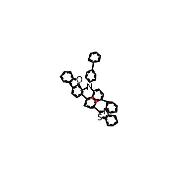 c1ccc(-c2ccc(N(c3ccc(-c4ccccc4)cc3)c3c(-c4ccc(-c5nc6ccccc6s5)cc4)ccc4c3oc3ccccc34)cc2)cc1